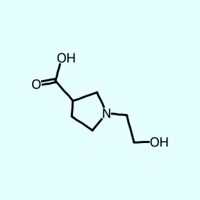 O=C(O)C1CCN(CCO)C1